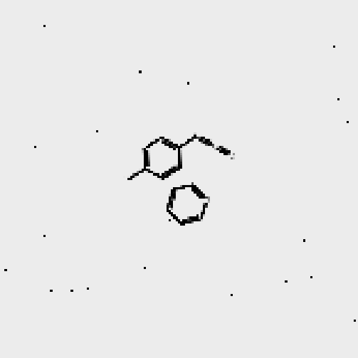 O=C=Nc1ccc(Cl)cc1.c1ccncc1